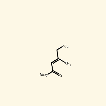 CCCCC/C(C)=C/C(=O)OC